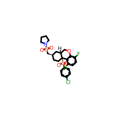 O=S(=O)(C[C@@H]1CC[C@@]2(S(=O)(=O)c3ccc(Cl)cc3)c3c(F)ccc(F)c3OC[C@H]2C1)N1CCCC1